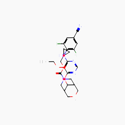 CCOc1c(Nc2c(F)cc(C#N)cc2Cl)ncnc1OC1C2COCC1CN(C(=O)OCC1CC1)C2